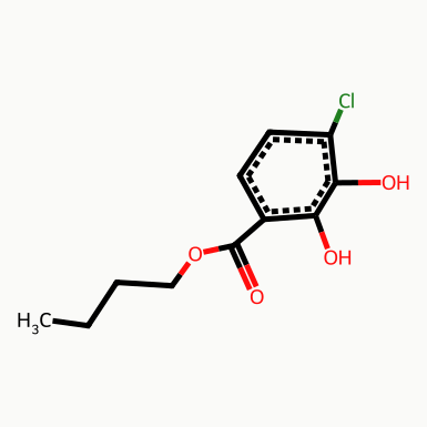 CCCCOC(=O)c1ccc(Cl)c(O)c1O